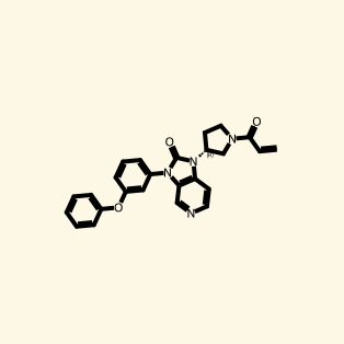 C=CC(=O)N1CC[C@@H](n2c(=O)n(-c3cccc(Oc4ccccc4)c3)c3cnccc32)C1